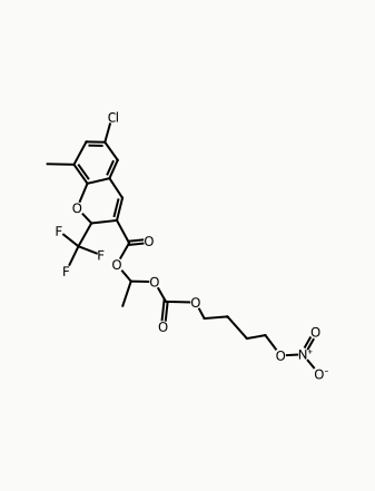 Cc1cc(Cl)cc2c1OC(C(F)(F)F)C(C(=O)OC(C)OC(=O)OCCCCO[N+](=O)[O-])=C2